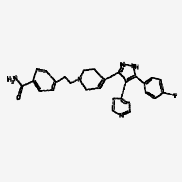 NC(=O)c1ccc(CCN2CC=C(c3n[nH]c(-c4ccc(F)cc4)c3-c3ccncc3)CC2)cc1